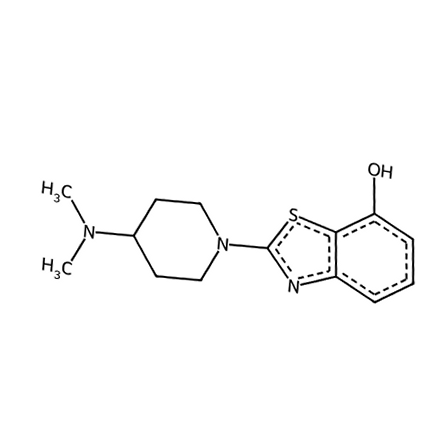 CN(C)C1CCN(c2nc3cccc(O)c3s2)CC1